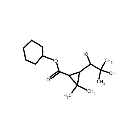 CC(C)(O)C(O)C1C(C(=O)OC2CCCCC2)C1(C)C